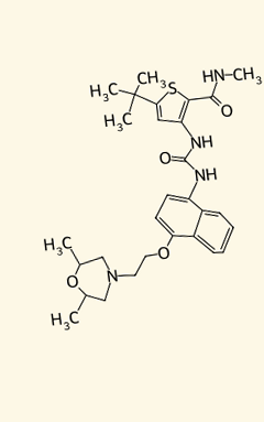 CNC(=O)c1sc(C(C)(C)C)cc1NC(=O)Nc1ccc(OCCN2CC(C)OC(C)C2)c2ccccc12